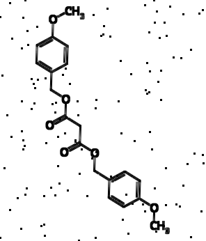 COc1ccc(COC(=O)CC(=O)OCc2ccc(OC)cc2)cc1